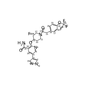 Cn1cc(-c2cnc(OC3CCN(C(=O)Cc4ccc(OC(F)(F)F)cc4)C[C@H]3F)c(C(N)=O)c2)cn1